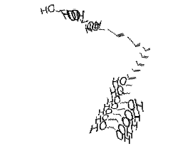 C=CC.C=CC.C=CC.C=CC.C=CC.C=CC.C=CC.CCO.CCO.CCO.OCCO.OCCO.OCCO.OCCO.OCCO.OCCO.OCCO